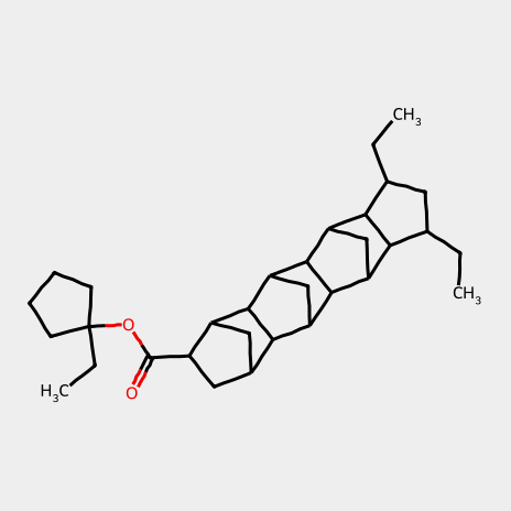 CCC1CC(CC)C2C3CC(C12)C1C2CC(C4C5CC(CC5C(=O)OC5(CC)CCCC5)C24)C31